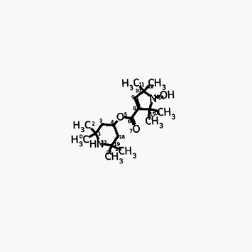 CC1(C)CC(OC(=O)C2=CC(C)(C)N(O)C2(C)C)CC(C)(C)N1